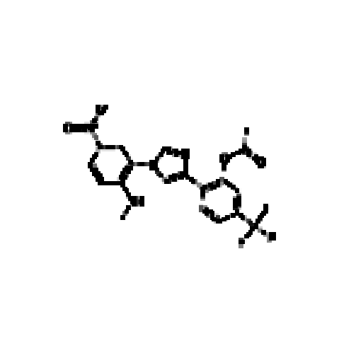 CNc1ccc([N+](=O)[O-])cc1-n1cnc(-c2ccc(C(F)(F)F)cc2OC(C)=O)c1